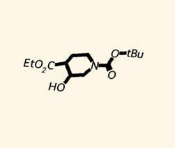 CCOC(=O)C1CCN(C(=O)OC(C)(C)C)CC1O